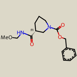 COCNC(=O)[C@@H]1CCCN(C(=O)OCc2ccccc2)C1